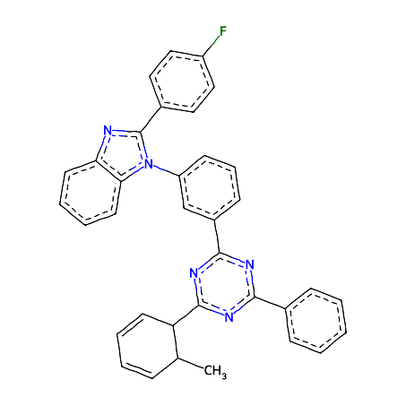 CC1C=CC=CC1c1nc(-c2ccccc2)nc(-c2cccc(-n3c(-c4ccc(F)cc4)nc4ccccc43)c2)n1